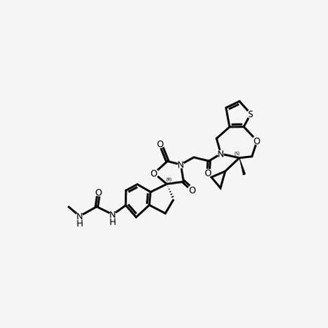 CNC(=O)Nc1ccc2c(c1)CC[C@@]21OC(=O)N(CC(=O)N2Cc3ccsc3OC[C@]2(C)C2CC2)C1=O